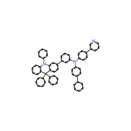 c1ccc(-c2ccc(N(c3ccc(-c4cccnc4)cc3)c3cccc(-c4ccc5c(c4)N(c4ccccc4)c4ccccc4C5(c4ccccc4)c4ccccc4)c3)cc2)cc1